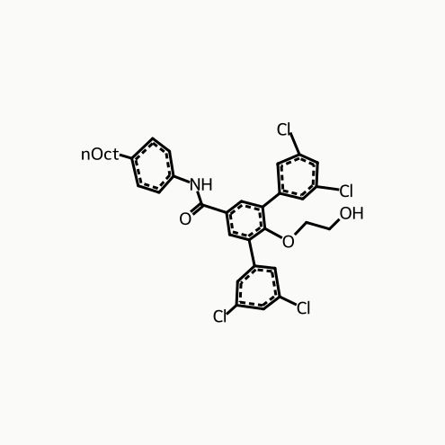 CCCCCCCCc1ccc(NC(=O)c2cc(-c3cc(Cl)cc(Cl)c3)c(OCCO)c(-c3cc(Cl)cc(Cl)c3)c2)cc1